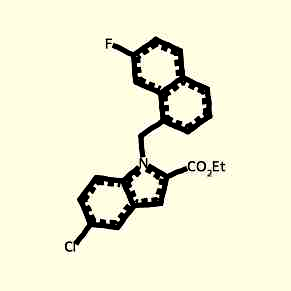 CCOC(=O)c1cc2cc(Cl)ccc2n1Cc1cccc2ccc(F)cc12